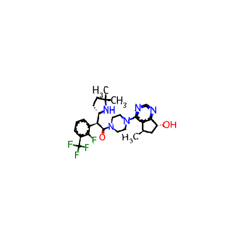 C[C@@H]1C[C@@H](O)c2ncnc(N3CCN(C(=O)[C@@H](c4cccc(C(F)(F)F)c4F)[C@@H]4CCC(C)(C)N4)CC3)c21